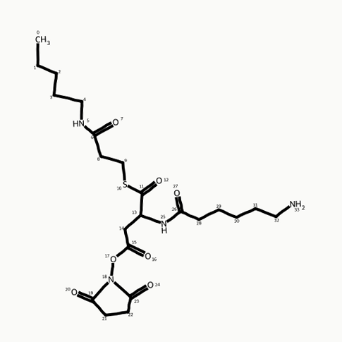 CCCCCNC(=O)CCSC(=O)C(CC(=O)ON1C(=O)CCC1=O)NC(=O)CCCCCN